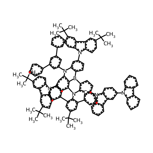 CC(C)(C)c1cc(-c2ccccc2)c(N2c3cc(-n4c5ccccc5c5cc(-n6c7ccccc7c7ccccc76)ccc54)ccc3B3c4ccc(-n5c6ccc(C(C)(C)C)cc6c6cc(C(C)(C)C)ccc65)cc4N(c4cc(-c5ccccc5)cc(-c5ccccc5)c4)c4cc(-n5c6ccc(C(C)(C)C)cc6c6cc(C(C)(C)C)ccc65)cc2c43)c(-c2ccccc2)c1